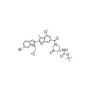 COc1cc(C(=O)N2C[C@H](F)C[C@@H](NC(=O)OC(C)(C)C)C2)cc2oc(-c3cc4ccc(Br)cc4n3CC3CC3)c(C)c12